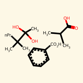 CC(C)C(=O)O.CCCC(C)(C)C(C)(O)O.O=C(O)c1ccccc1